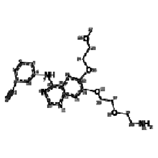 C#Cc1cccc(Nc2ncnc3cc(OCCOCCN)c(OCCOC)cc23)c1